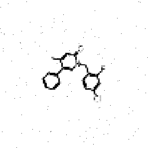 Cc1cc(=O)n(Cc2ccc(Cl)cc2F)cc1-c1ccccc1